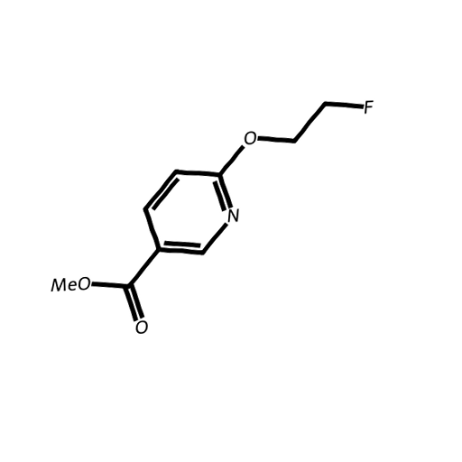 COC(=O)c1ccc(OCCF)nc1